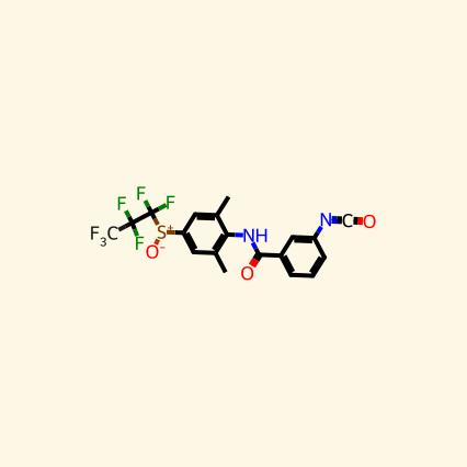 Cc1cc([S+]([O-])C(F)(F)C(F)(F)C(F)(F)F)cc(C)c1NC(=O)c1cccc(N=C=O)c1